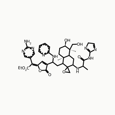 CCOC(=O)/C(=C1/C=C(C(CC2C3(CO3)C(NC(C)C(=O)NC3=NCC=N3)CC3[C@]2(C)CC[C@@H](O)[C@@]3(C)CO)Nc2ccccn2)C(=O)O1)c1cnc(N)nc1